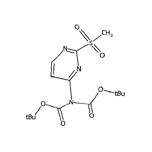 CC(C)(C)OC(=O)N(C(=O)OC(C)(C)C)c1ccnc(S(C)(=O)=O)n1